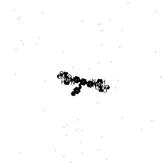 COC(=O)N[C@H](C(=O)N1CCC[C@H]1c1nc2cc(-c3ccc(-c4ccc5[nH]c([C@@H]6CCCN6C(=O)[C@@H](NC(=O)OC)C(C)C)nc5c4)c(CCc4ccc(C(C)(C)C)cc4)c3)ccc2[nH]1)C(C)C